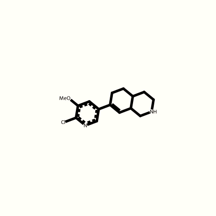 COc1cc(C2=CC3CNCCC3CC2)cnc1Cl